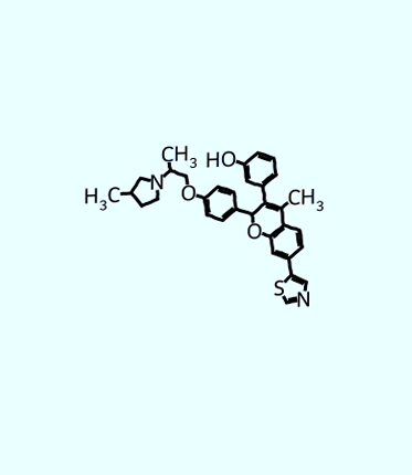 CC1=C(c2cccc(O)c2)C(c2ccc(OCC(C)N3CCC(C)C3)cc2)Oc2cc(-c3cncs3)ccc21